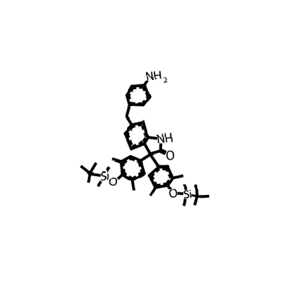 Cc1cc(C2(c3cc(C)c(O[Si](C)(C)C(C)(C)C)c(C)c3)C(=O)Nc3cc(Cc4ccc(N)cc4)ccc32)cc(C)c1O[Si](C)(C)C(C)(C)C